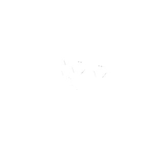 O=C(O)Oc1cn(C2CC2)c2cc(-c3ccccc3)c(F)cc2c1=O